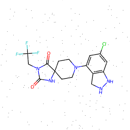 O=C1NC2(CCN(c3cc(Cl)cc4c3CNN4)CC2)C(=O)N1CC(F)(F)F